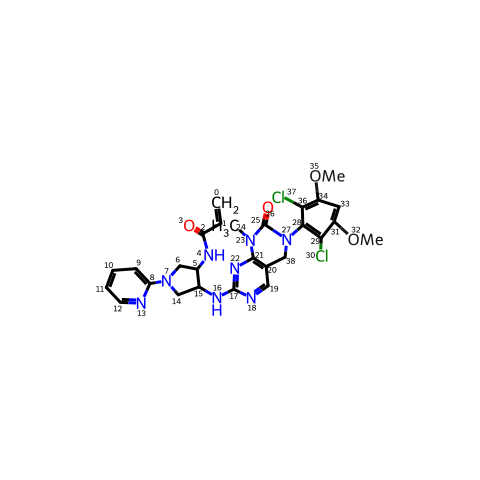 C=CC(=O)NC1CN(c2ccccn2)CC1Nc1ncc2c(n1)N(C)C(=O)N(c1c(Cl)c(OC)cc(OC)c1Cl)C2